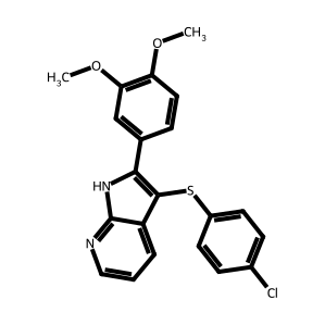 COc1ccc(-c2[nH]c3ncccc3c2Sc2ccc(Cl)cc2)cc1OC